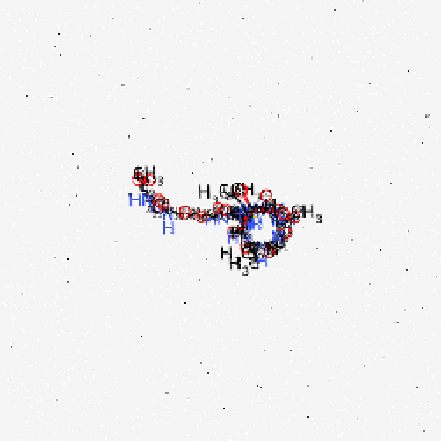 CC[C@H](C)[C@@H]1NC(=O)CNC(=O)[C@@H]2Cc3c([nH]c4ccc(NC(=O)CCOCCOCCNC(=O)/C=C\C(=O)NCCC(=O)OC)cc34)SC[C@H](NC(=O)CNC1=O)C(=O)N[C@@H](CC(=O)OC)C(=O)N1CCC[C@H]1C(=O)N[C@@H]([C@@H](C)CC)C(=O)N2